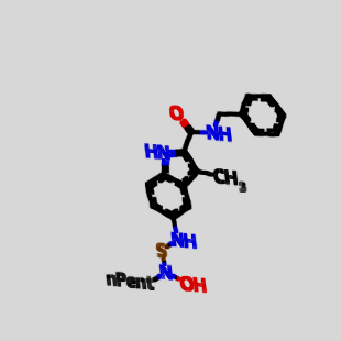 CCCCCN(O)SNc1ccc2[nH]c(C(=O)NCc3ccccc3)c(C)c2c1